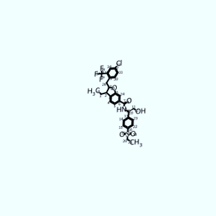 CCC1c2ccc(C(=O)N[C@@H](CO)c3ccc(S(=O)(=O)CC)cc3)cc2OC1Cc1ccc(Cl)cc1C(F)(F)F